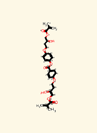 C=C(C)C(=O)OCC(O)CCOc1ccc(OC(=O)c2ccc(OCCC(O)COC(=O)C(=C)C)cc2)cc1